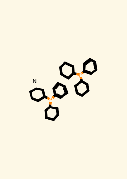 [Ni].c1ccc(P(C2CCCCC2)C2CCCCC2)cc1.c1ccc(P(C2CCCCC2)C2CCCCC2)cc1